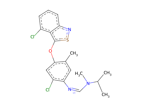 Cc1cc(/N=C\N(C)C(C)C)c(Cl)cc1Oc1snc2cccc(Cl)c12